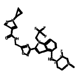 CN1CC[C@@H](Nc2cccc3c2cc(-c2noc(CNC(=O)c4cnn(C5CC5)c4)n2)n3CC(F)(F)F)[C@@H](F)C1